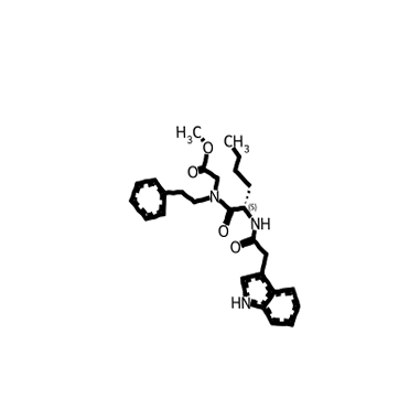 CCCC[C@H](NC(=O)Cc1c[nH]c2ccccc12)C(=O)N(CCc1ccccc1)CC(=O)OC